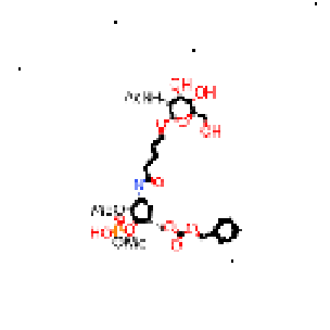 CO[C@H]1C(OP(=O)(O)OC)[C@@H](COC(=O)OCc2ccccc2)C[C@H]1NC(=O)CCCCO[C@@H]1O[C@H](CO)[C@H](O)[C@H](O)[C@H]1NC(C)=O